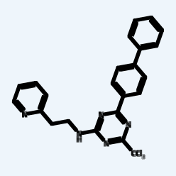 ClC(Cl)(Cl)c1nc(NCCc2ccccn2)nc(-c2ccc(-c3ccccc3)cc2)n1